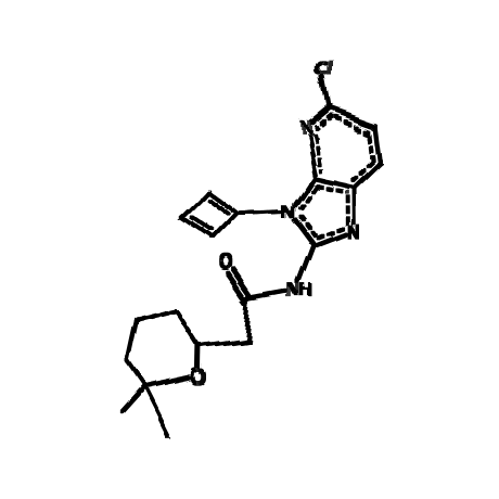 CC1(C)CCCC(CC(=O)Nc2nc3ccc(Cl)nc3n2C2=CC=C2)O1